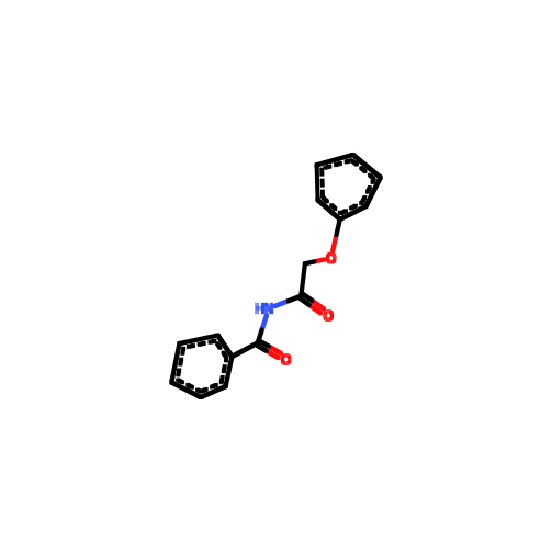 O=C(COc1ccccc1)NC(=O)c1ccccc1